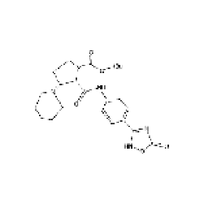 CC(C)(C)OC(=O)N1CC[C@@H](N2CCCCC2)[C@H]1C(=O)Nc1ccc(-c2nc(=O)o[nH]2)cc1